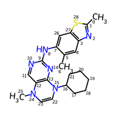 Cc1nc2cc(C)c(Nc3ncc4c(n3)N(C3CCCCC3)C=CN4C)cc2s1